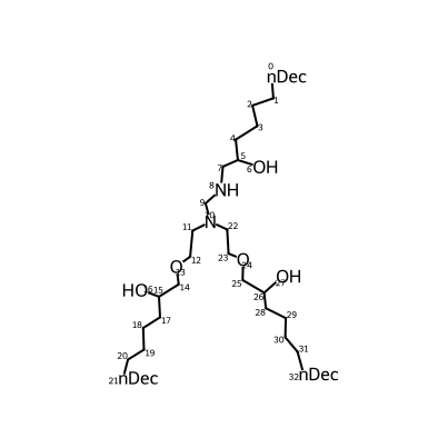 CCCCCCCCCCCCCCC(O)CNCN(CCOCC(O)CCCCCCCCCCCCCC)CCOCC(O)CCCCCCCCCCCCCC